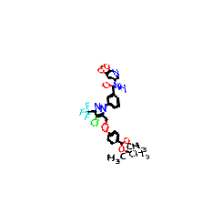 CC(C)(C)OC(=O)c1ccc(OCc2c(Cl)c(C(F)(F)F)nn2-c2cccc(C(=O)Nc3cnc4c(c3)OCO4)c2)cc1